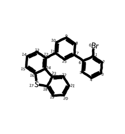 Brc1ccccc1-c1cccc(-c2cccc3sc4ccccc4c23)c1